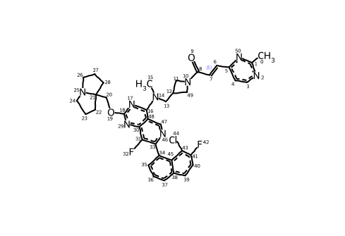 Cc1nccc(/C=C/C(=O)N2CC(CN(C)c3nc(OCC45CCCN4CCC5)nc4c(F)c(-c5cccc6ccc(F)c(Cl)c56)ncc34)C2)n1